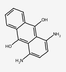 Nc1ccc(N)c2c(O)c3ccccc3c(O)c12